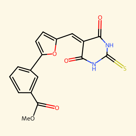 COC(=O)c1cccc(-c2ccc(C=C3C(=O)NC(=S)NC3=O)o2)c1